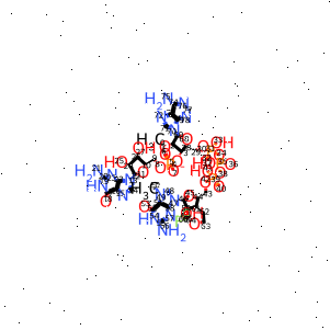 CO[C@@H]1[C@H](OP(=O)([O-])OC[C@H]2O[C@@H](n3cnc4c(=O)[nH]c(N)nc43)[C@H](O)[C@@H]2O)[C@@H](COP(=O)(O)OP(=O)(O)OP(=O)(O)OC[C@H]2O[C@@H](n3c[n+](C)c4c(=O)[nH]c(N)nc43)[C@H](O)[C@@H]2CCOC(F)F)O[C@H]1n1cnc2c(N)ncnc21